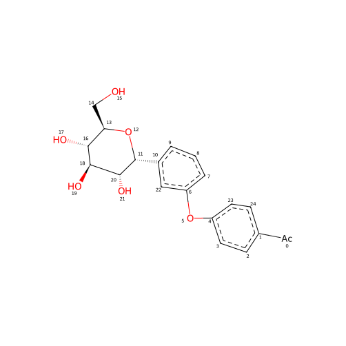 CC(=O)c1ccc(Oc2cccc([C@H]3O[C@H](CO)[C@@H](O)[C@H](O)[C@H]3O)c2)cc1